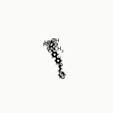 CN(C(=O)c1ccc(-c2ccc(OCCCN3CCOCC3)cc2)cc1)C1C(=O)NNN(O)C1=O